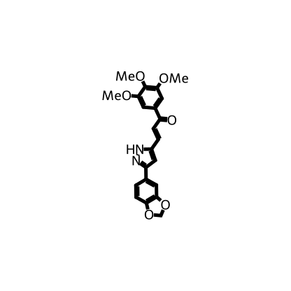 COc1cc(C(=O)/C=C/c2cc(-c3ccc4c(c3)OCO4)n[nH]2)cc(OC)c1OC